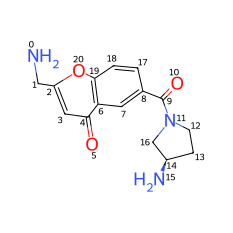 NCc1cc(=O)c2cc(C(=O)N3CC[C@@H](N)C3)ccc2o1